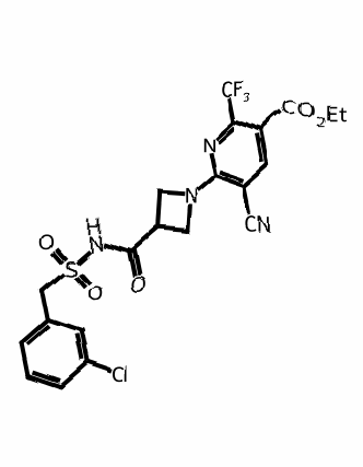 CCOC(=O)c1cc(C#N)c(N2CC(C(=O)NS(=O)(=O)Cc3cccc(Cl)c3)C2)nc1C(F)(F)F